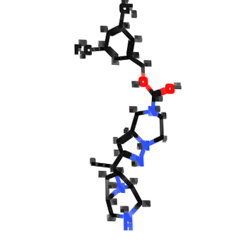 CC(c1cc2n(n1)CCN(C(=O)OCc1cc(C(F)(F)F)cc(C(F)(F)F)c1)C2)N1C2CCC1CNC2